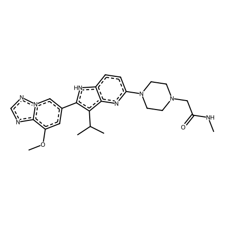 CNC(=O)CN1CCN(c2ccc3[nH]c(-c4cc(OC)c5ncnn5c4)c(C(C)C)c3n2)CC1